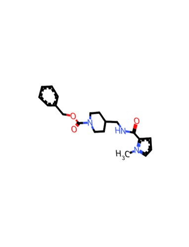 Cn1cccc1C(=O)NCC1CCN(C(=O)OCc2ccccc2)CC1